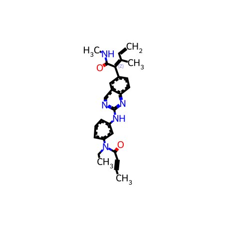 C=C/C(C)=C(\C(=O)NC)c1ccc2nc(Nc3cccc(N(CC)C(=O)C#CC)c3)ncc2c1